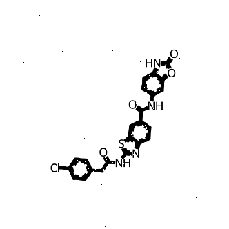 O=C(Cc1ccc(Cl)cc1)Nc1nc2ccc(C(=O)Nc3ccc4[nH]c(=O)oc4c3)cc2s1